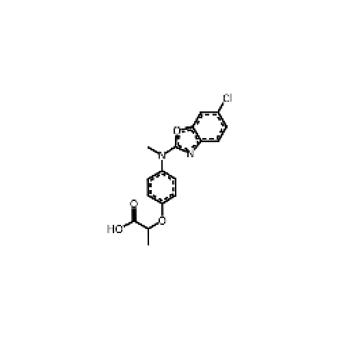 CC(Oc1ccc(N(C)c2nc3ccc(Cl)cc3o2)cc1)C(=O)O